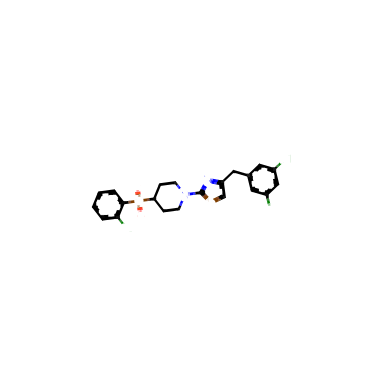 O=S(=O)(c1ccccc1Br)C1CCN(c2nc(Cc3cc(F)cc(Cl)c3)cs2)CC1